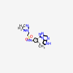 C=NN(/C=N\C)CCS(=O)(=O)N[C@H]1C[C@@H](CC)[C@@H](c2nnc3cnc4[nH]ccc4n23)C1